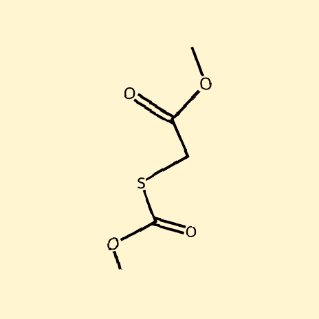 COC(=O)CSC(=O)OC